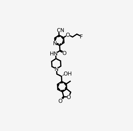 Cc1c([C@@H](O)CN2CCC(NC(=O)c3cc(OCCF)c(C#N)cn3)CC2)ccc2c1COC2=O